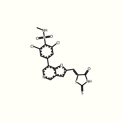 CNS(=O)(=O)c1c(Cl)cc(-c2cncc3cc(/C=C4\SC(=S)NC4=O)oc23)cc1Cl